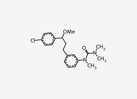 COC(CCc1cccc(N(C)C(=O)N(C)C)c1)c1ccc(Cl)cc1